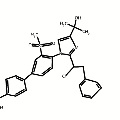 CC(C)(O)c1cn(-c2ccc(-c3ccc(CO)cc3)cc2S(C)(=O)=O)c(C(Cl)Cc2ccccc2)n1